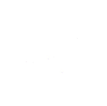 Cc1noc(-c2ccc(C(F)(F)F)cc2)c1C(=O)Nc1ccccc1C(=O)O